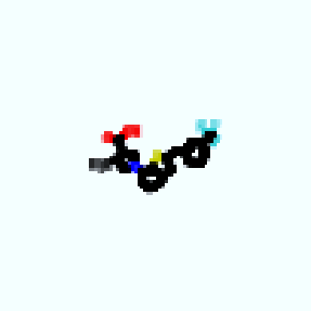 Cc1cn(-c2cccc3cc(Cc4cccc(C(F)(F)F)c4)sc23)cc1C(=O)O